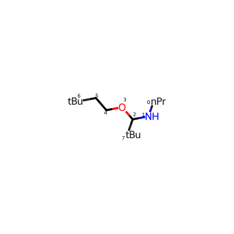 CCCNC(OCCC(C)(C)C)C(C)(C)C